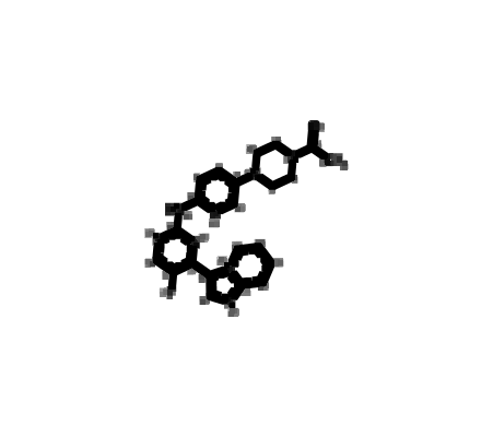 CC(=O)N1CCN(c2ccc(Nc3ncc(F)c(-c4cnc5ccccn45)n3)nc2)CC1